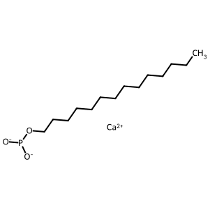 CCCCCCCCCCCCCCOP([O-])[O-].[Ca+2]